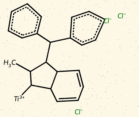 CC1[CH]([Ti+3])C2C=CC=CC2C1C(c1ccccc1)c1ccccc1.[Cl-].[Cl-].[Cl-]